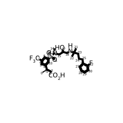 C[C@H](CC(=O)O)c1cc(C(F)(F)F)cc(S(=O)(=O)N(C)CC(O)CNC(C)(C)CCCc2ccccc2F)c1